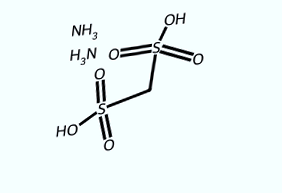 N.N.O=S(=O)(O)CS(=O)(=O)O